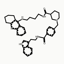 O=C(NCCc1c[nH]c2ccccc12)c1ccc(CN2CCCC(C(=O)NCCCCNc3c4c(nc5ccccc35)CCCC4)C2)cc1